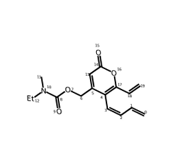 C=C/C=C\c1c(COC(=O)N(C)CC)cc(=O)oc1C=C